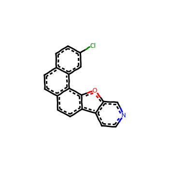 Clc1ccc2ccc3ccc4c5ccncc5oc4c3c2c1